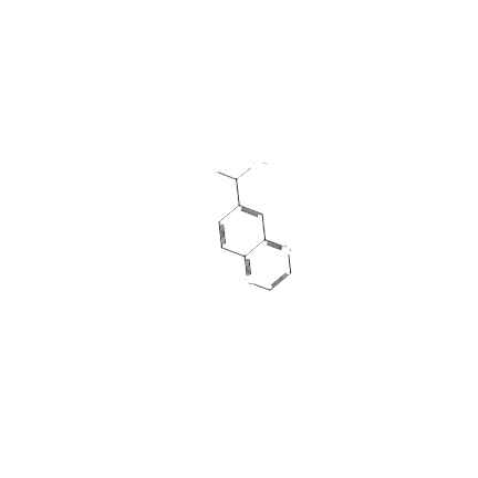 CC(S)c1ccc2nccnc2c1